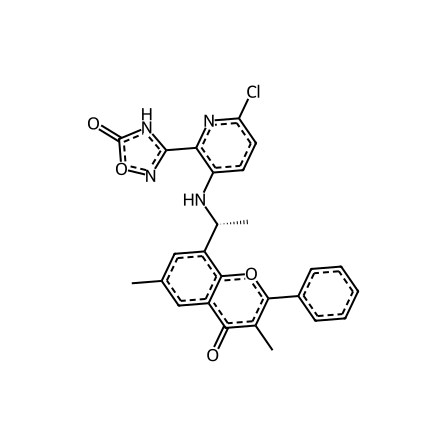 Cc1cc([C@@H](C)Nc2ccc(Cl)nc2-c2noc(=O)[nH]2)c2oc(-c3ccccc3)c(C)c(=O)c2c1